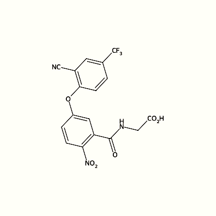 N#Cc1cc(C(F)(F)F)ccc1Oc1ccc([N+](=O)[O-])c(C(=O)NCC(=O)O)c1